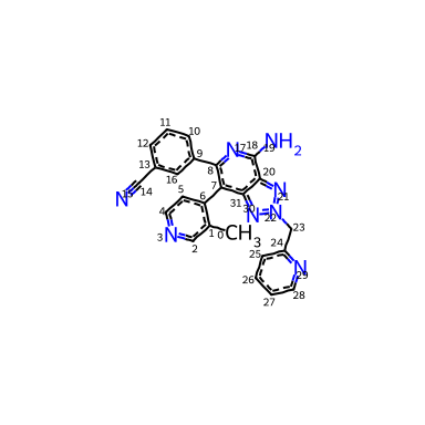 Cc1cnccc1-c1c(-c2cccc(C#N)c2)nc(N)c2nn(Cc3ccccn3)nc12